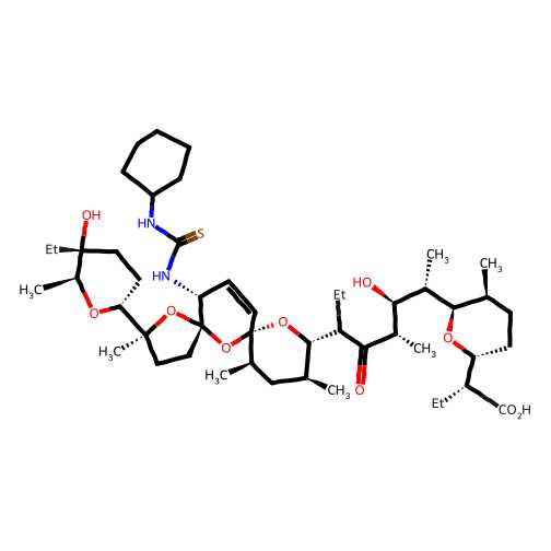 CCC(C(=O)[C@@H](C)[C@@H](O)[C@H](C)[C@@H]1O[C@@H]([C@@H](CC)C(=O)O)CC[C@@H]1C)[C@H]1O[C@]2(C=C[C@@H](NC(=S)NC3CCCCC3)[C@]3(CC[C@@](C)([C@H]4CC[C@](O)(CC)[C@H](C)O4)O3)O2)[C@H](C)C[C@@H]1C